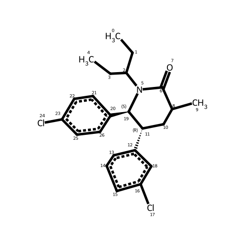 CCC(CC)N1C(=O)C(C)C[C@H](c2cccc(Cl)c2)[C@H]1c1ccc(Cl)cc1